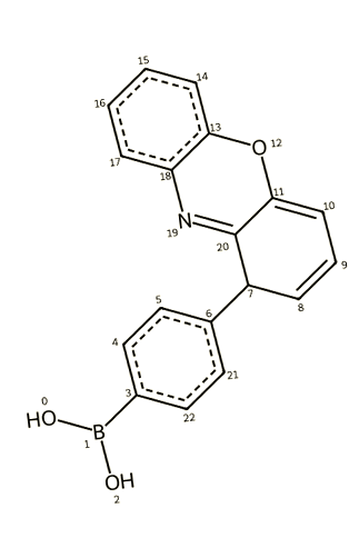 OB(O)c1ccc(C2C=CC=C3Oc4ccccc4N=C32)cc1